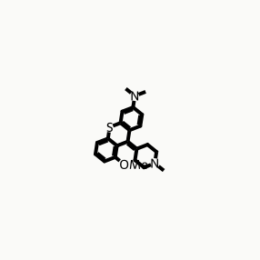 COc1cccc2c1C(=C1CCN(C)CC1)c1ccc(N(C)C)cc1S2